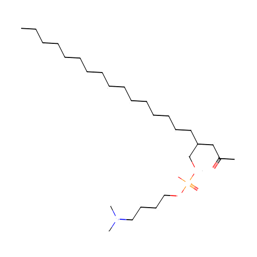 CCCCCCCCCCCCCCCCC(COP(=O)(O)OCCCCN(C)C)CC(C)=O